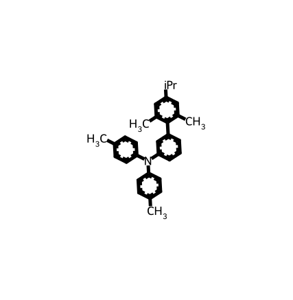 Cc1ccc(N(c2ccc(C)cc2)c2cccc(-c3c(C)cc(C(C)C)cc3C)c2)cc1